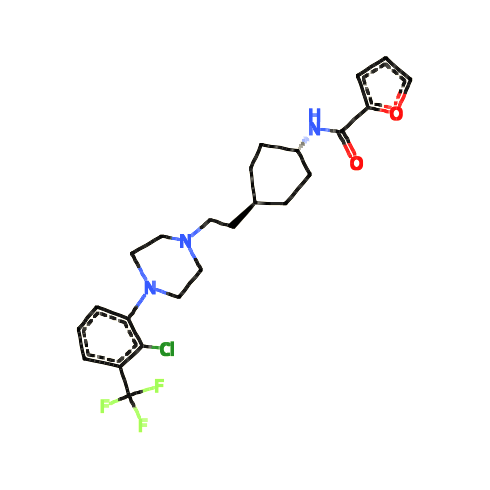 O=C(N[C@H]1CC[C@H](CCN2CCN(c3cccc(C(F)(F)F)c3Cl)CC2)CC1)c1ccco1